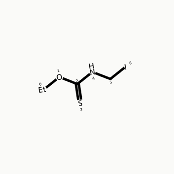 CCOC(=S)NCI